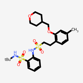 Cc1ccc(CCS(=O)(=O)Nc2ccccc2S(=O)(=O)NC(C)(C)C)c(OCC2CCOCC2)c1